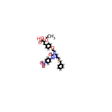 CCOC(Cc1ccc(OCCN(CCCSCc2ccccc2)C(=O)Nc2ccc([N+](=O)[O-])cc2)cc1)C(=O)O